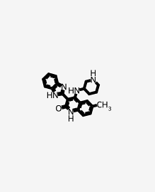 Cc1ccc2[nH]c(=O)c(-c3nc4ccccc4[nH]3)c(NC3CCCNC3)c2c1